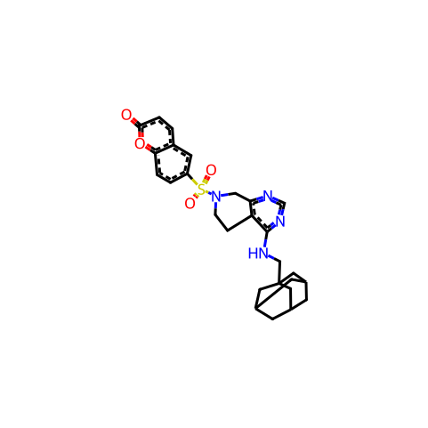 O=c1ccc2cc(S(=O)(=O)N3CCc4c(ncnc4NCC45CC6CC(CC(C6)C4)C5)C3)ccc2o1